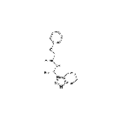 CC(C)(C)C(NC(=O)COc1ccccc1)n1nnc2ccccc21